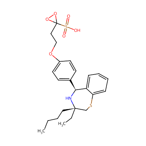 CCCC[C@]1(CC)CSc2ccccc2[C@H](c2ccc(OCCC3(S(=O)(=O)O)OO3)cc2)N1